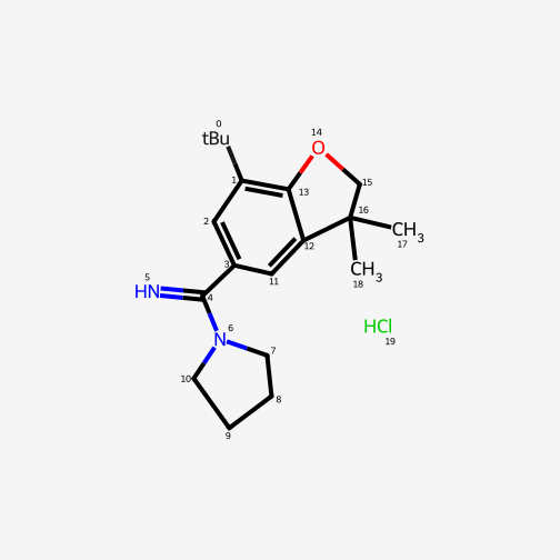 CC(C)(C)c1cc(C(=N)N2CCCC2)cc2c1OCC2(C)C.Cl